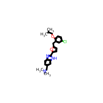 CC(C)COc1ccc(Cl)cc1Cc1ccc(-c2nc3ccc(CN(C)C)cc3[nH]2)o1